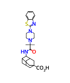 CC(C)(C(=O)NC1C2CC3CC1CC(C(=O)O)(C3)C2)N1CCN(c2nc3ccccc3s2)CC1